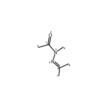 CC(=O)N(C)N=C(C)C